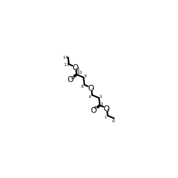 CCOC(=O)CCOCCC(=O)OCC